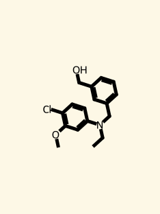 CCN(Cc1cccc(CO)c1)c1ccc(Cl)c(OC)c1